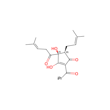 CC(C)=CCC(=O)[C@@]1(O)C(O)=C(C(=O)C(C)C)C(=O)[C@@H]1CC=C(C)C